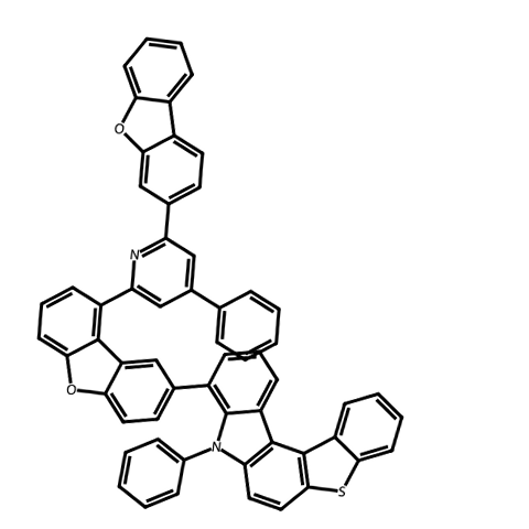 c1ccc(-c2cc(-c3ccc4c(c3)oc3ccccc34)nc(-c3cccc4oc5ccc(-c6cccc7c8c9c(ccc8n(-c8ccccc8)c67)sc6ccccc69)cc5c34)c2)cc1